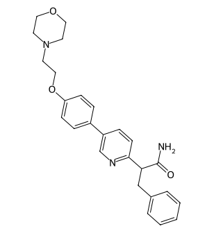 NC(=O)C(Cc1ccccc1)c1ccc(-c2ccc(OCCN3CCOCC3)cc2)cn1